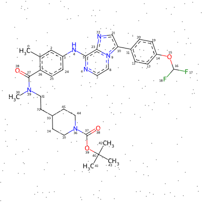 Cc1cc(Nc2nccn3c(-c4ccc(OC(F)F)cc4)cnc23)ccc1C(=O)N(C)CCC1CCN(C(=O)OC(C)(C)C)CC1